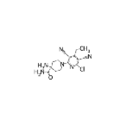 CCc1c(C#N)c(Cl)nc(N2CCC(N)(C(N)=O)CC2)c1C#N